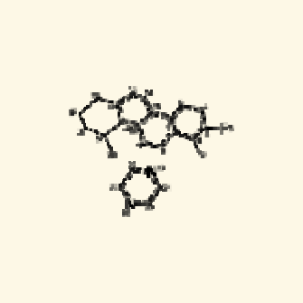 Cc1c(F)ccc2c1ccc1c3c(ccc12)CCCC3C.c1cnccn1